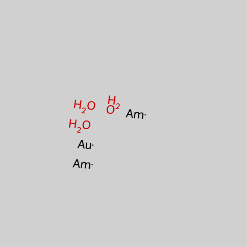 O.O.O.[Am].[Am].[Au]